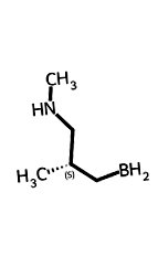 BC[C@H](C)CNC